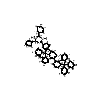 c1ccc(C2N=C(c3ccc4c(c3)C3(c5ccccc5-c5ccccc53)c3cc(-c5cccc6c5-c5ccccc5C6(c5ccccc5)c5ccccc5)ccc3-4)NC(c3ccccc3)N2)cc1